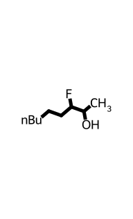 CCCCCCC(F)C(C)O